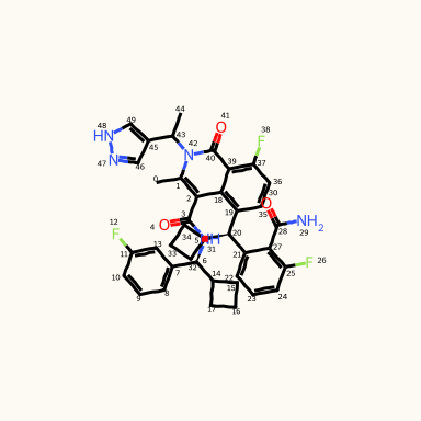 Cc1c(C(=O)N[C@H](c2cccc(F)c2)C2CCC2)c2c([C@@H](c3cccc(F)c3C(N)=O)C3CCC3)ccc(F)c2c(=O)n1C(C)c1cn[nH]c1